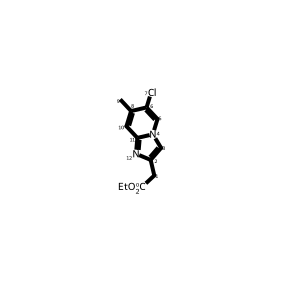 CCOC(=O)Cc1cn2cc(Cl)c(C)cc2n1